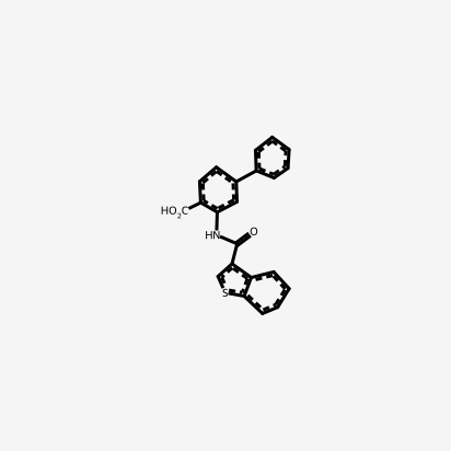 O=C(O)c1ccc(-c2ccccc2)cc1NC(=O)c1csc2ccccc12